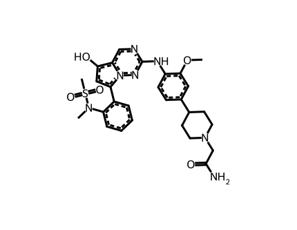 COc1cc(C2CCN(CC(N)=O)CC2)ccc1Nc1ncc2c(O)cc(-c3ccccc3N(C)S(C)(=O)=O)n2n1